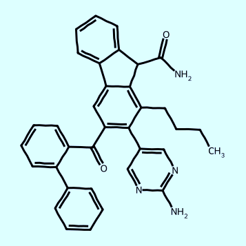 CCCCc1c(-c2cnc(N)nc2)c(C(=O)c2ccccc2-c2ccccc2)cc2c1C(C(N)=O)c1ccccc1-2